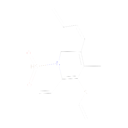 C=C/C=C\C1=C(C)C(SC=C)=C(C=C)N([SH](=O)=O)C1